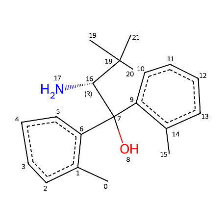 Cc1ccccc1C(O)(c1ccccc1C)[C@H](N)C(C)(C)C